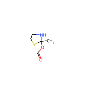 CC1(OC=O)NCCS1